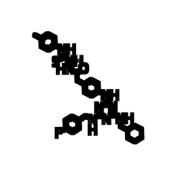 Cc1ccc(NC(=S)NNC(=O)Cc2ccc(Nc3nc(NCc4ccc(F)cc4)nc(NCC4CCCCC4)n3)cc2)cc1